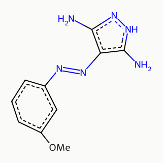 COc1cccc(N=Nc2c(N)n[nH]c2N)c1